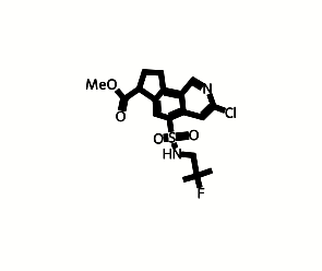 COC(=O)C1CCc2c1cc(S(=O)(=O)NCC(C)(C)F)c1cc(Cl)ncc21